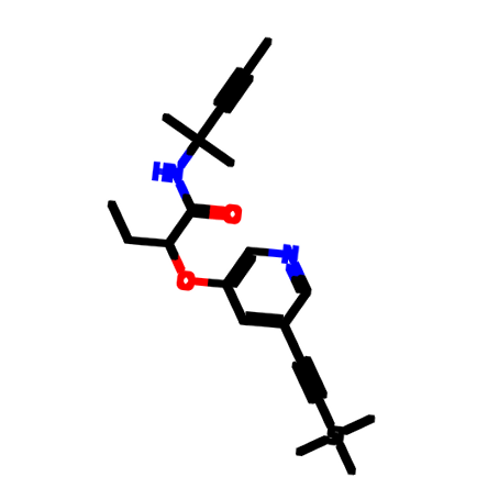 CC#CC(C)(C)NC(=O)C(CC)Oc1cncc(C#C[Si](C)(C)C)c1